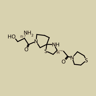 N[C@@H](CO)C(=O)N1CCCC2(C1)N[C@H](CC(=O)N1CCSCC1)CS2